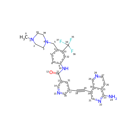 CN1CCN(Cc2ccc(NC(=O)c3cncc(C#Cc4cnc(N)c5ccncc45)c3)cc2C(F)(F)F)CC1